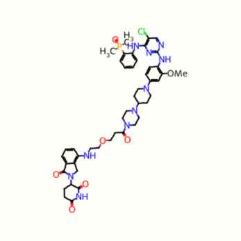 COc1cc(N2CCC(N3CCN(C(=O)CCOCCNc4cccc5c4CN(C4CCC(=O)NC4=O)C5=O)CC3)CC2)ccc1Nc1ncc(Cl)c(Nc2ccccc2P(C)(C)=O)n1